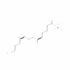 CC(=CCCCC(P(=O)(O)O)S(=O)(=O)O)CCC=C(C)CCCC(C)C